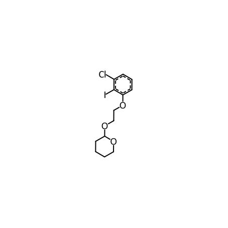 Clc1cccc(OCCOC2CCCCO2)c1I